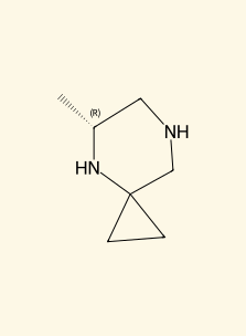 C[C@@H]1CNCC2(CC2)N1